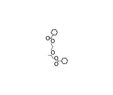 CC(COC(=O)c1ccccc1)OCCCOC(=O)c1ccccc1